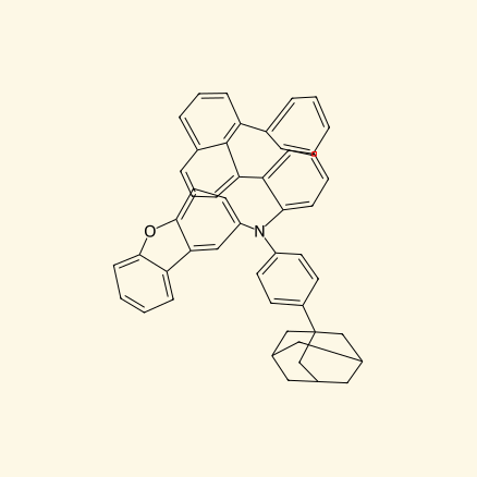 c1ccc(-c2cccc3cccc(-c4ccccc4N(c4ccc(C56CC7CC(CC(C7)C5)C6)cc4)c4ccc5oc6ccccc6c5c4)c23)cc1